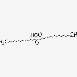 C=CCCCCCCCCCCCCCCC(C(=O)O)C(=O)CCCCCCCCCCCCCCC